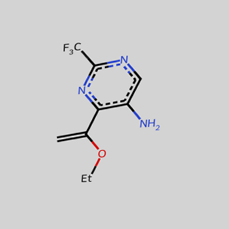 C=C(OCC)c1nc(C(F)(F)F)ncc1N